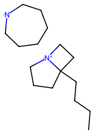 C1CCC[N]CC1.CCCCC12CCC[N+]1CC2